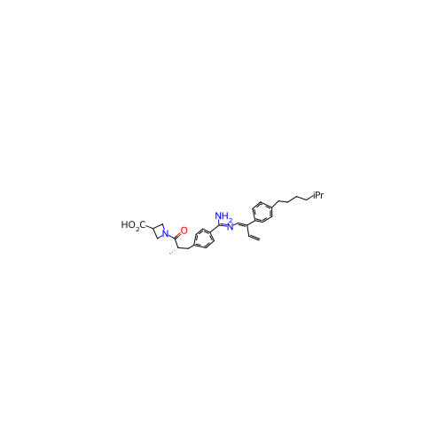 C=C/C(=C\N=C(/N)c1ccc(C[C@H](C)C(=O)N2CC(C(=O)O)C2)cc1)c1ccc(CCCCC(C)C)cc1